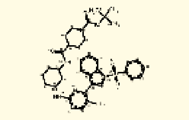 CC(C)(C)OC(=O)N1CCC(C(=O)NC2CCC[C@@H](Nc3ncc(Cl)c(-c4cn(S(=O)(=O)c5ccccc5)c5ccccc45)n3)C2)CC1